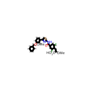 COC(=Cc1c(F)cc(C(=O)Nc2nc(-c3cccc(OCc4ccccc4)c3OC)cs2)cc1F)C(=O)O